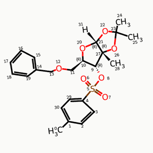 Cc1ccc(S(=O)(=O)O[C@@H]2[C@@H](COCc3ccccc3)O[C@@H]3OC(C)(C)O[C@@]32C)cc1